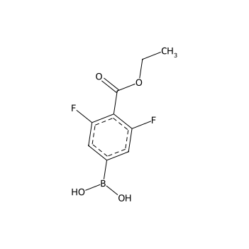 CCOC(=O)c1c(F)cc(B(O)O)cc1F